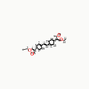 CCOC=C(C=O)c1ccc(C=Cc2ccc(C(C=O)=COCC)cc2)cc1